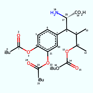 CCC(C)C(=O)Oc1ccc(C(C(C)C(C)OC(=O)OCC(C)C)[C@H](N)C(=O)O)cc1OC(=O)C(C)CC